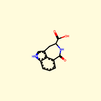 O=C1NC(C(=O)O)Cc2c[nH]c3cccc1c23